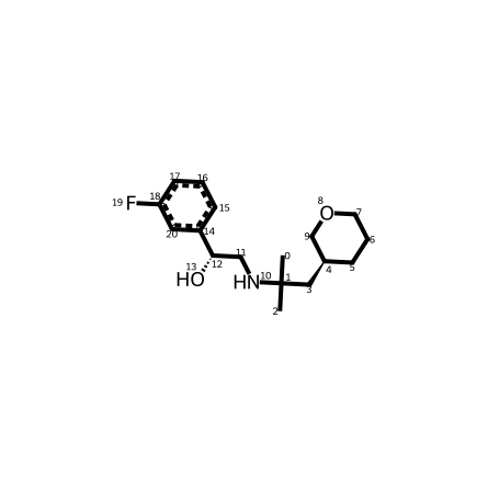 CC(C)(C[C@@H]1CCCOC1)NC[C@H](O)c1cccc(F)c1